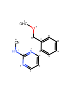 N#CNc1ncccn1.O=COCc1ccccc1